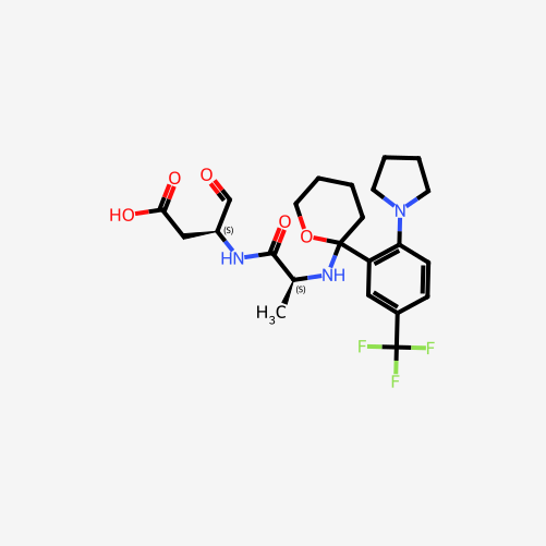 C[C@H](NC1(c2cc(C(F)(F)F)ccc2N2CCCC2)CCCCO1)C(=O)N[C@H](C=O)CC(=O)O